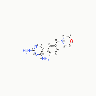 Nc1ncc(-c2cccc(CN3CCOCC3)c2)c(N)n1